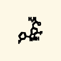 NC(=O)Cc1cc(F)c2[nH]nc(-c3cccc(F)c3)c2c1